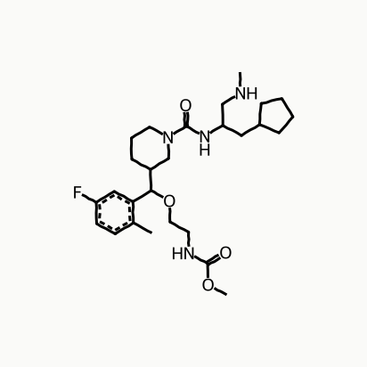 CNCC(CC1CCCC1)NC(=O)N1CCCC(C(OCCNC(=O)OC)c2cc(F)ccc2C)C1